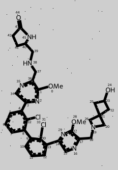 COc1nc(-c2cccc(-c3cccc(-c4cnc(CN5CC6(CC(O)C6)C5)c(OC)n4)c3Cl)c2Cl)cnc1CNCC1CCC(=O)N1